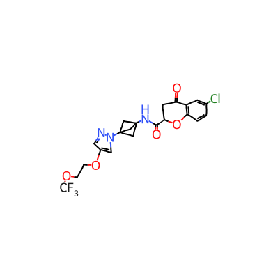 O=C1C[C@H](C(=O)NC23CC(n4cc(OCCOC(F)(F)F)cn4)(C2)C3)Oc2ccc(Cl)cc21